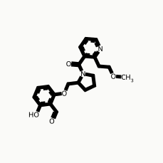 COCCc1ncccc1C(=O)N1CCCC1COc1cccc(O)c1C=O